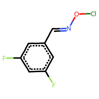 Fc1cc(F)cc(C=NOCl)c1